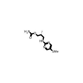 CSc1cnc(NC[C@@H](C)COC(N)=O)nc1